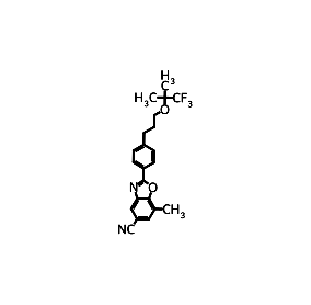 Cc1cc(C#N)cc2nc(-c3ccc(CCCOC(C)(C)C(F)(F)F)cc3)oc12